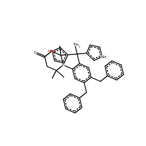 CC1(C)CC(=O)CC(C)(C)P1c1cc(Cc2ccccc2)c(Cc2ccccc2)cc1C(P)(c1cc[nH]c1)c1cc[nH]c1